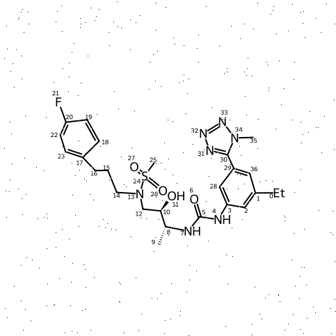 CCc1cc(NC(=O)N[C@H](C)[C@H](O)CN(CCCc2ccc(F)cc2)S(C)(=O)=O)cc(-c2nnnn2C)c1